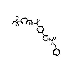 CCS(=O)(=O)c1ccc(CNC(=O)c2ccc(C3=CN(C(=O)OCc4ccccc4)CC3)cc2)cc1